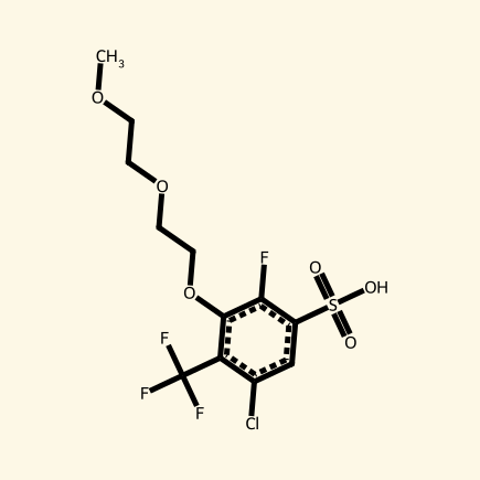 COCCOCCOc1c(F)c(S(=O)(=O)O)cc(Cl)c1C(F)(F)F